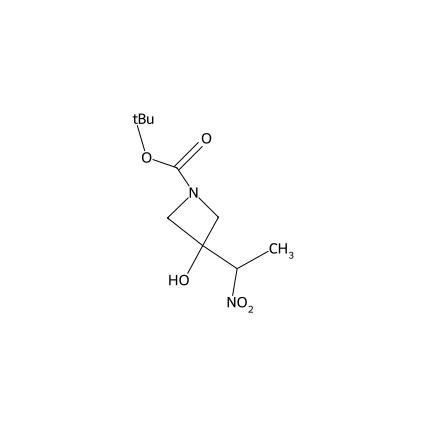 CC([N+](=O)[O-])C1(O)CN(C(=O)OC(C)(C)C)C1